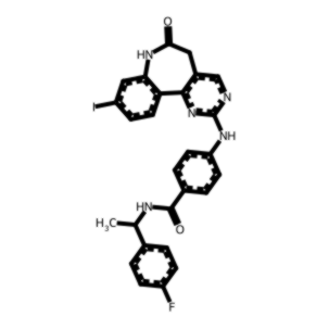 CC(NC(=O)c1ccc(Nc2ncc3c(n2)-c2ccc(I)cc2NC(=O)C3)cc1)c1ccc(F)cc1